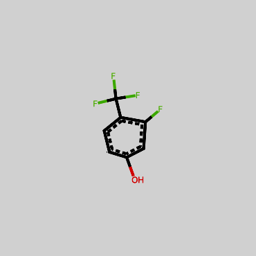 Oc1[c]cc(C(F)(F)F)c(F)c1